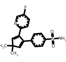 CC1(C)C=C(c2ccc(S(N)(=O)=O)cc2)C(c2ccc(F)cn2)=C1